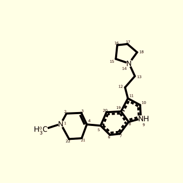 CN1CC=C(c2ccc3[nH]cc(CCN4CCCC4)c3c2)CC1